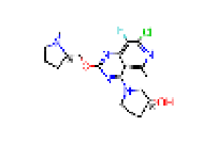 Cc1nc(Cl)c(F)c2nc(OC[C@@H]3CCCN3C)nc(N3CCC[C@@H](O)C3)c12